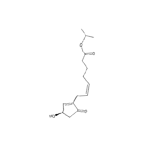 CC(C)OC(=O)CCC/C=C\CC1=C[C@H](O)CC1=O